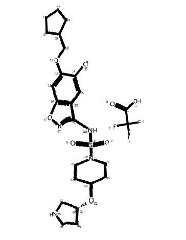 O=C(O)C(F)(F)F.O=S(=O)(Nc1noc2cc(OCC3CCCC3)c(Cl)cc12)N1CCC(O[C@@H]2CCNC2)CC1